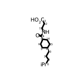 CC(C)CCC[C@H]1CC[C@@H](C(=O)NCCC(=O)O)CC1